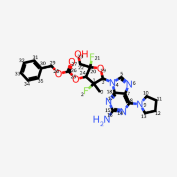 CC1(F)C(n2cnc3c(N4CCCC4)nc(N)nc32)OC(F)(CO)C1OC(=O)OCc1ccccc1